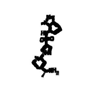 C[C@@H](N)c1ccnc(-n2cc(S(=O)(=O)Nc3cccc4cnn(C)c34)cn2)c1